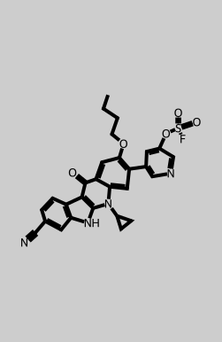 CCCCOc1cc2c(=O)c3c4ccc(C#N)cc4[nH]c3n(C3CC3)c2cc1-c1cncc(OS(=O)(=O)F)c1